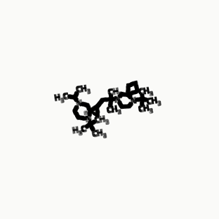 CC(C)N1CCN(C(C)(C)C)[C@]2(CC2CC(C)(C)N2CCN(C(C)(C)C)C3(CCC3)C2)C1